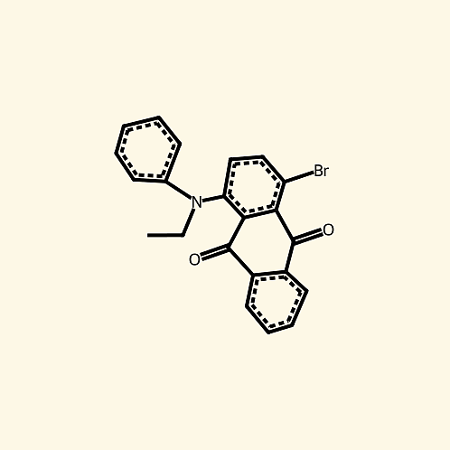 CCN(c1ccccc1)c1ccc(Br)c2c1C(=O)c1ccccc1C2=O